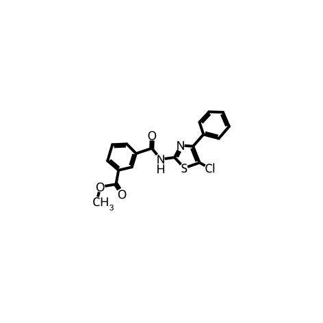 COC(=O)c1cccc(C(=O)Nc2nc(-c3ccccc3)c(Cl)s2)c1